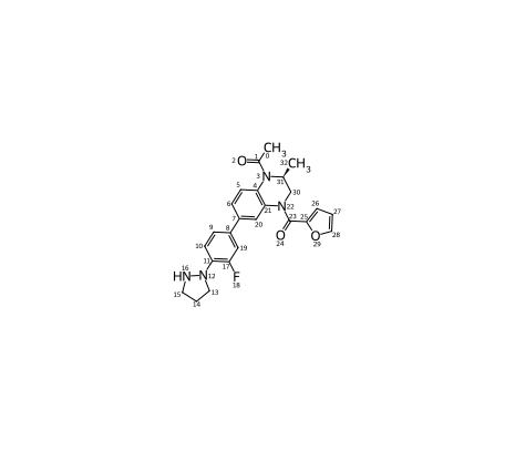 CC(=O)N1c2ccc(-c3ccc(N4CCCN4)c(F)c3)cc2N(C(=O)c2ccco2)C[C@@H]1C